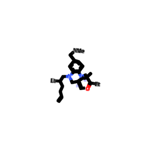 C=CCCC(CC)CN(CC(/C=C(/C)C(=O)CC)=C/C)c1cc(CNC)ccc1N=C